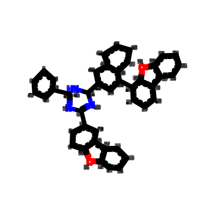 c1ccc(C2=NC(c3ccc4oc5ccccc5c4c3)=NC(c3cc(-c4cccc5c4oc4ccccc45)c4ccccc4c3)N2)cc1